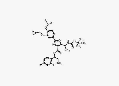 C[C@H](NC(=O)OC(C)(C)C)c1oc(-c2ccc(OC(F)F)c(OCC3CC3)c2)nc1C(=O)NC(CN)c1ccc(F)cc1F